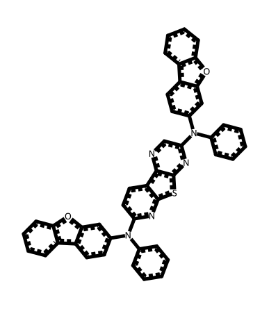 c1ccc(N(c2ccc3c(c2)oc2ccccc23)c2ccc3c(n2)sc2nc(N(c4ccccc4)c4ccc5c(c4)oc4ccccc45)cnc23)cc1